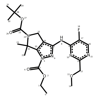 CCOC(=O)n1nc(Nc2nc(COC)ncc2F)c2c1C(C)(C)N(C(=O)OC(C)(C)C)C2